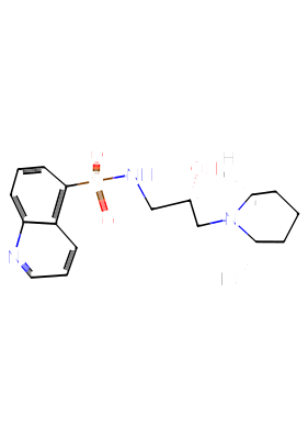 C[C@@H]1CCC[C@H](C)N1C[C@@H](O)CNS(=O)(=O)c1cccc2ncccc12